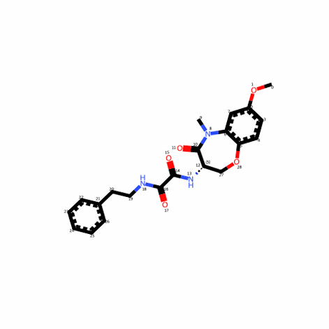 COc1ccc2c(c1)N(C)C(=O)[C@@H](NC(=O)C(=O)NCCc1ccccc1)CO2